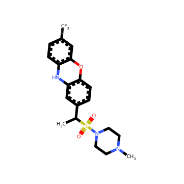 CC(c1ccc2c(c1)Nc1ccc(C(F)(F)F)cc1O2)S(=O)(=O)N1CCN(C)CC1